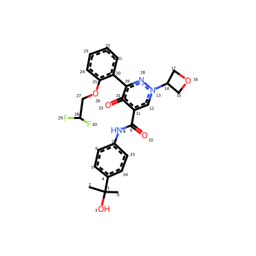 CC(C)(O)c1ccc(NC(=O)c2cn(C3COC3)nc(-c3ccccc3OCC(F)F)c2=O)cc1